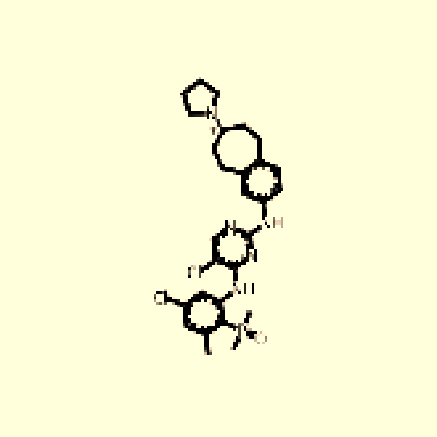 Cc1cc(Cl)cc(Nc2nc(Nc3ccc4c(c3)CC[C@@H](N3CCCC3)CC4)ncc2Cl)c1P(C)(C)=O